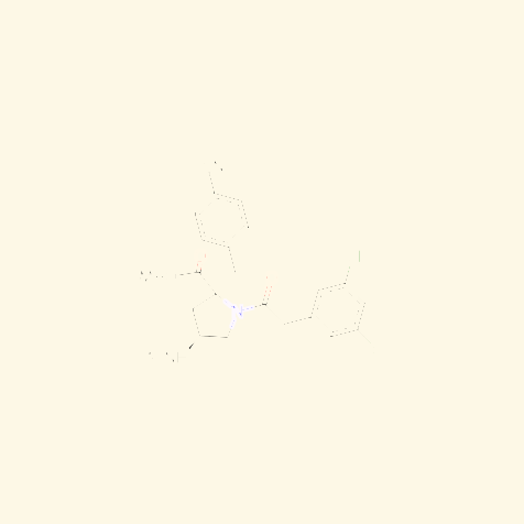 COC(=O)[C@]1(Cc2ccc(C#N)cc2)C[C@H](NC(C)=O)CN1C(=O)Cc1cc(Cl)cc(Cl)c1